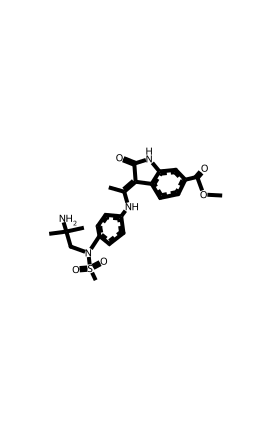 COC(=O)c1ccc2c(c1)NC(=O)C2=C(C)Nc1ccc(N(CC(C)(C)N)S(C)(=O)=O)cc1